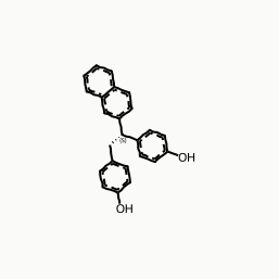 Oc1ccc(C[C@@H](c2ccc(O)cc2)c2ccc3ccccc3c2)cc1